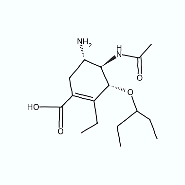 CCC1=C(C(=O)O)C[C@H](N)[C@@H](NC(C)=O)[C@@H]1OC(CC)CC